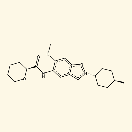 COc1cc2nn([C@H]3CC[C@H](C)CC3)cc2cc1NC(=O)[C@@H]1CCCCO1